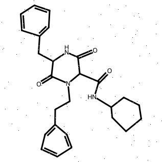 O=C(NC1CCCCC1)C1C(=O)NC(Cc2ccccc2)C(=O)N1CCc1ccccc1